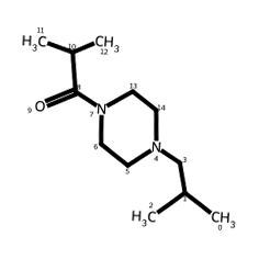 CC(C)CN1CCN(C(=O)C(C)C)CC1